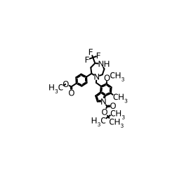 COC(=O)c1ccc(C2CC(C(F)(F)F)NCCN2Cc2c(OC)cc(C)c3c2ccn3C(=O)OC(C)(C)C)cc1